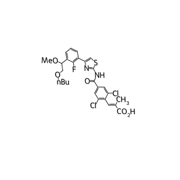 CCCCOCC(OC)c1cccc(-c2csc(NC(=O)c3cc(Cl)c(/C=C(\C)C(=O)O)c(Cl)c3)n2)c1F